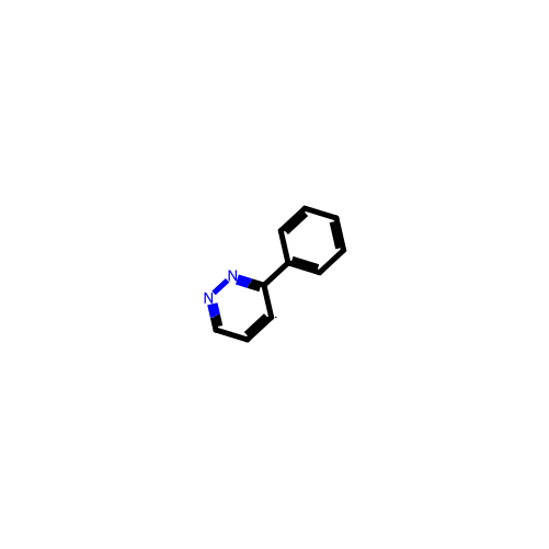 [c]1ccnnc1-c1ccccc1